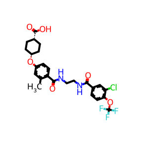 Cc1cc(O[C@H]2CC[C@@H](C(=O)O)CC2)ccc1C(=O)NCCNC(=O)c1ccc(OC(F)(F)F)c(Cl)c1